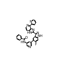 O=C(Nc1cncc(-c2cc3c(-c4nc5c(-c6ccccn6)nccc5[nH]4)n[nH]c3cc2F)c1)c1ccccc1